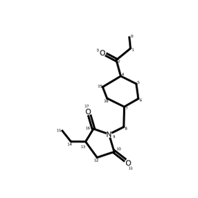 CCC(=O)C1CCC(CN2C(=O)CC(CC)C2=O)CC1